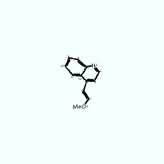 COC=Cc1ccnc2ccccc12